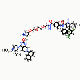 COc1cc(C(=O)NCCOCCOCCO[C@@H]2C[C@@H](COc3nc4c(c(N5CCN(C(=O)O)[C@@H](CC#N)C5)n3)CCN(c3cccc5ccccc35)C4)N(C)C2)ccc1NC(=O)[C@@H]1N[C@@H](CC(C)(C)C)[C@](C#N)(c2ccc(Cl)cc2F)[C@H]1c1cccc(Cl)c1F